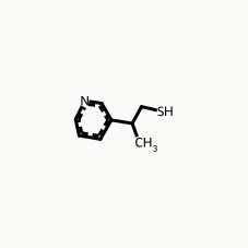 CC(CS)c1cccnc1